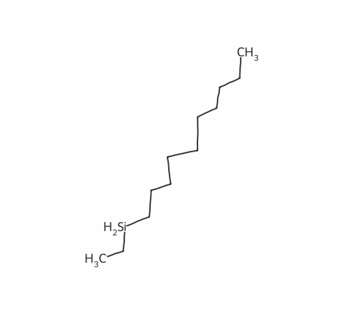 CCCCCCCCCC[SiH2]CC